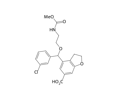 COC(=O)NCCOC(c1cccc(Cl)c1)c1cc(C(=O)O)cc2c1CCO2